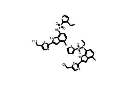 CCN(c1ccc(C)c2cc(-c3ncc(CCl)s3)[nH]c12)S(=O)(=O)c1cccs1.CCc1ccsc1S(=O)(=O)Nc1ccc(C)c2cc(-c3ncc(CO)s3)[nH]c12